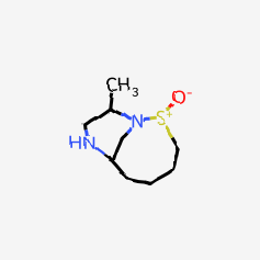 CC1CNC2CCCC[S+]([O-])N1C2